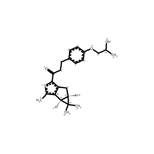 Cc1sc(C(=O)CCc2ccc(OCC(C)O)cc2)c2c1[C@H]1[C@@H](C2)C1(C)C